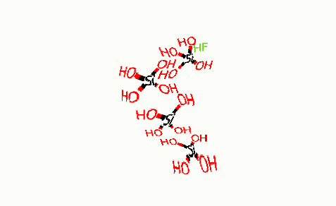 F.O[Si](O)(O)O.O[Si](O)(O)O.O[Si](O)(O)O.O[Si](O)(O)O